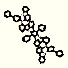 c1ccc(-c2ccc(N(c3cccc4c3oc3ccccc34)c3cccc4c3c3cccc5c6c(-c7ccccc7)c7c(c(-c8ccccc8)c6n4c35)c3cccc4c5c(N(c6ccc(-c8ccccc8)cc6)c6cccc8c6oc6ccccc68)cccc5n7c43)cc2)cc1